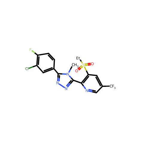 CCS(=O)(=O)c1cc(C(F)(F)F)cnc1-c1nnc(-c2ccc(F)c(Cl)c2)n1C